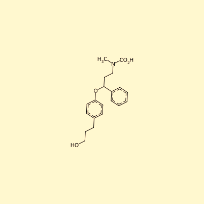 CN(CCC(Oc1ccc(CCCO)cc1)c1ccccc1)C(=O)O